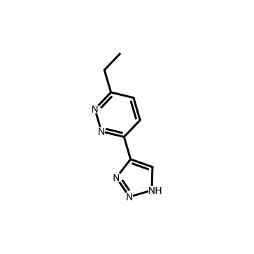 CCc1ccc(-c2c[nH]nn2)nn1